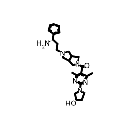 Cc1nc(N2CCC(O)C2)nc(C)c1C(=O)N1CC2CN(CC[C@H](N)c3ccccc3)CC2C1